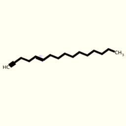 C#CCC/C=C/CCCCCCCCCC